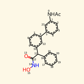 CC(=O)Nc1cccc(-c2cccc(C(C(=O)NO)c3ccccc3)c2)c1